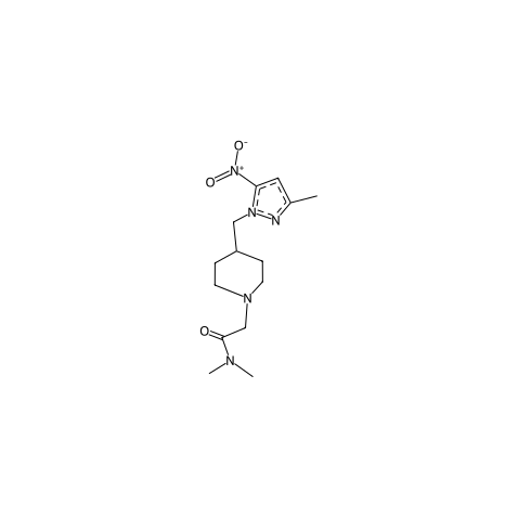 Cc1cc([N+](=O)[O-])n(CC2CCN(CC(=O)N(C)C)CC2)n1